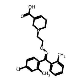 Cc1ccccc1C(=NOCCN1CCC=C(C(=O)O)C1)c1ccc(Cl)cc1C